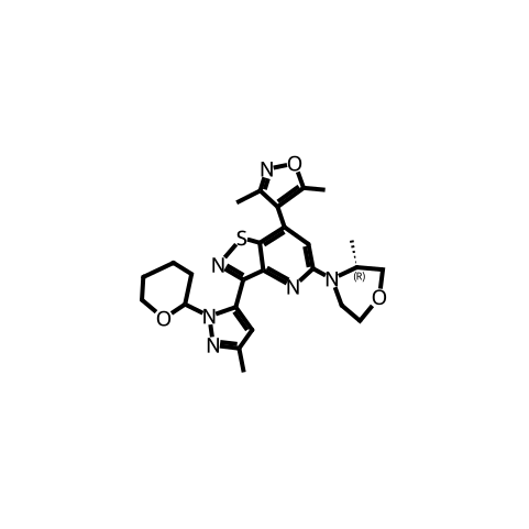 Cc1cc(-c2nsc3c(-c4c(C)noc4C)cc(N4CCOC[C@H]4C)nc23)n(C2CCCCO2)n1